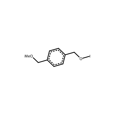 COCc1ccc(COI)cc1